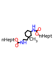 CCCCCCCOC(=O)NCCC1(C)CCCC(NC(=O)OCCCCCCC)C1